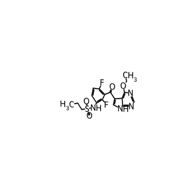 CCCS(=O)(=O)Nc1ccc(F)c(C(=O)c2c[nH]c3ncnc(OCC)c23)c1F